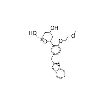 COCCOc1ccc(Cc2cc3ccccc3s2)cc1C1CC(O)C[C@@H](CO)O1